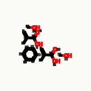 C=C(C)C(=O)O.C=C(C)C(=O)O.CO.CO.c1ccccc1